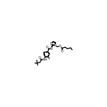 CCCCC(=O)OCn1ccsc1=NC(=O)c1ccc(NC(=O)CC(C)(C)C)c(F)c1